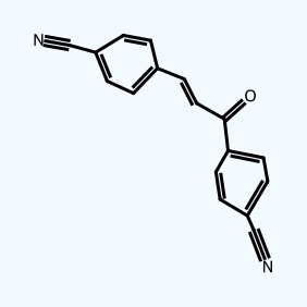 N#Cc1ccc(C=CC(=O)c2ccc(C#N)cc2)cc1